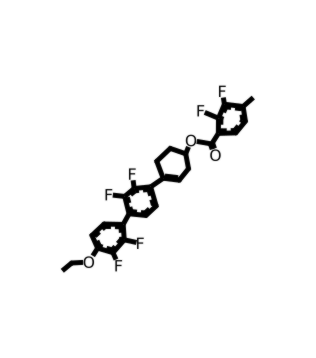 CCOc1ccc(-c2ccc(C3=CCC(OC(=O)c4ccc(C)c(F)c4F)CC3)c(F)c2F)c(F)c1F